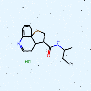 CC(C)CC(C)NC(=O)C1CSC23CC=CC=C2N=CCC13.Cl